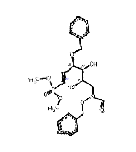 COP(=O)(/C=C/[C@@H](OCc1ccccc1)[C@@H](O)[C@H](O)CN(C=O)OCc1ccccc1)OC